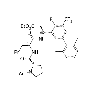 CCOC(=O)C[C@H](NC(=O)[C@H](CC(C)C)NC(=O)[C@H]1CCCN1C(C)=O)c1cc(-c2c(C)cccc2C)cc(C(F)(F)F)c1F